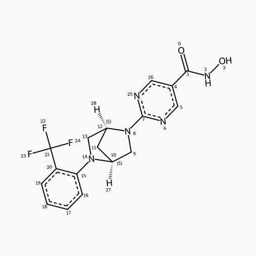 O=C(NO)c1cnc(N2C[C@@H]3C[C@H]2CN3c2ccccc2C(F)(F)F)nc1